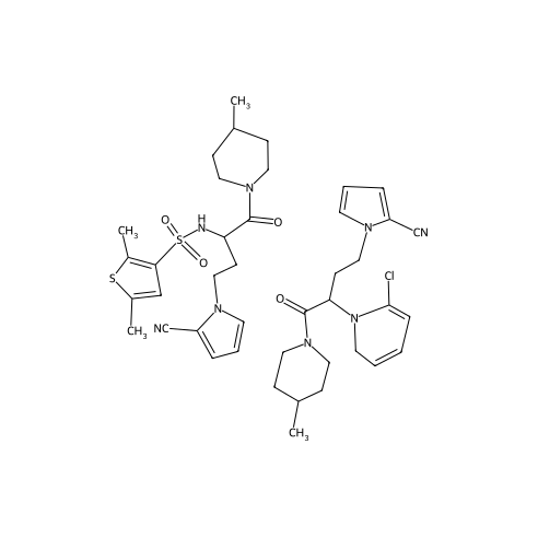 CC1CCN(C(=O)C(CCn2cccc2C#N)N2CC=CC=C2Cl)CC1.Cc1cc(S(=O)(=O)NC(CCn2cccc2C#N)C(=O)N2CCC(C)CC2)c(C)s1